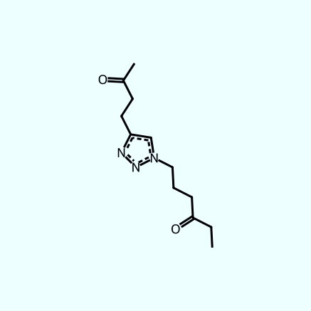 CCC(=O)CCCn1cc(CCC(C)=O)nn1